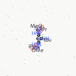 COC(=O)NC(C(=O)N1CCC[C@H]1c1nc2ccc([C@H]3CC[C@H](c4ccc5nc([C@@H]6CCCN6C(=O)[C@@H](NC(=O)OC)C(C)C)[nH]c5c4)N3c3ccc(NC(C)(C)C)c(F)c3)cc2[nH]1)C(C)C